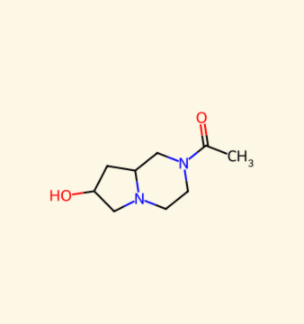 CC(=O)N1CCN2CC(O)CC2C1